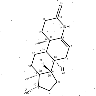 CC(=O)[C@H]1CC[C@H]2[C@@H]3CC=C4NC(=O)CC[C@]4(C)C3CC[C@]12C